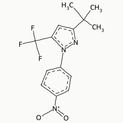 CC(C)(C)c1cc(C(F)(F)F)n(-c2ccc([N+](=O)[O-])cc2)n1